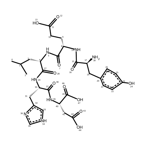 CC(C)C[C@H](NC(=O)[C@H](CCC(=O)O)NC(=O)[C@@H](N)Cc1ccc(O)cc1)C(=O)N[C@@H](Cc1c[nH]cn1)C(=O)N[C@@H](CC(=O)O)C(=O)O